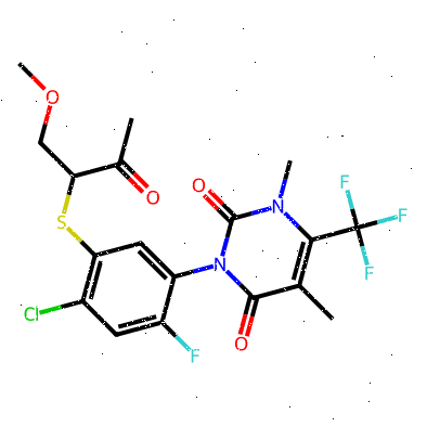 COCC(Sc1cc(-n2c(=O)c(C)c(C(F)(F)F)n(C)c2=O)c(F)cc1Cl)C(C)=O